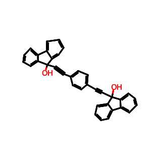 OC1(C#Cc2ccc(C#CC3(O)c4ccccc4-c4ccccc43)cc2)c2ccccc2-c2ccccc21